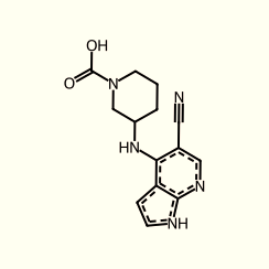 N#Cc1cnc2[nH]ccc2c1NC1CCCN(C(=O)O)C1